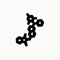 Cc1cc(C)c(N(c2ccccc2)c2ccc3cc(C=C4C(=O)c5ccccc5C4=O)ccc3c2)c(C)c1